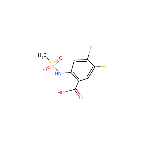 CS(=O)(=O)Nc1cc(F)c(F)cc1C(=O)O